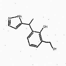 CC(C)Cc1cccc(C(C)c2ccn[nH]2)c1O